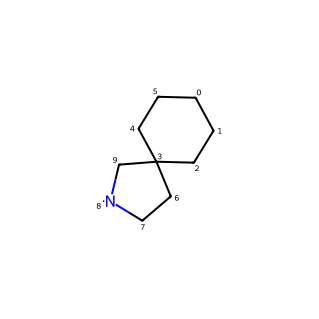 C1CCC2(CC1)CC[N]C2